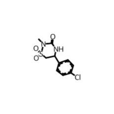 CN1C(=O)NC(c2ccc(Cl)cc2)CS1(=O)=O